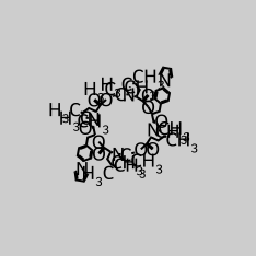 CC(C)CC1C(=O)OC(Cc2ccc(-n3cccc3)cc2)C(=O)N(C)C(CC(C)C)C(=O)OC(C)CN(C)C(CC(C)C)C(=O)OC(Cc2ccc(-n3cccc3)cc2)C(=O)N(C)C(CC(C)C)C(=O)OC(C)CN1C